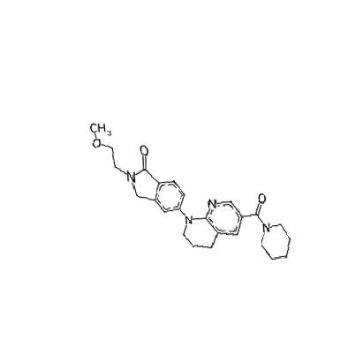 COCCN1Cc2cc(N3CCCc4cc(C(=O)N5CCCCC5)cnc43)ccc2C1=O